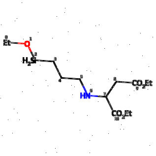 CCO[SiH2]CCCNC(CC(=O)OCC)C(=O)OCC